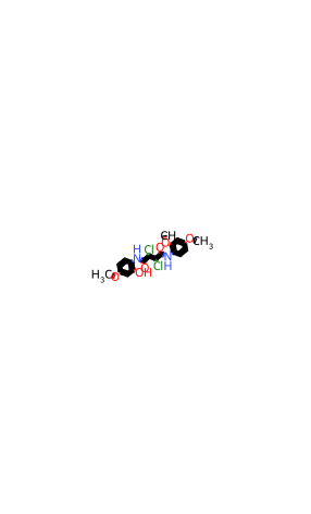 COc1ccc(NC(=O)C(Cl)C(Cl)C(=O)Nc2ccc(OC)cc2OC)c(O)c1